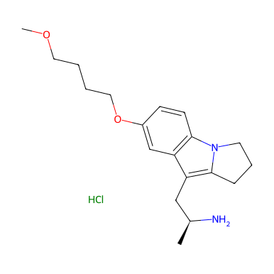 COCCCCOc1ccc2c(c1)c(C[C@H](C)N)c1n2CCC1.Cl